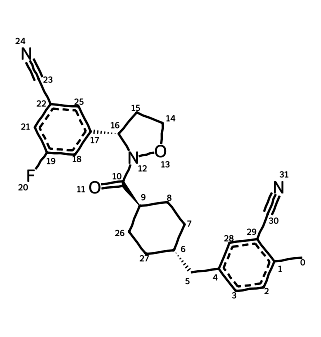 Cc1ccc(C[C@H]2CC[C@H](C(=O)N3OCC[C@H]3c3cc(F)cc(C#N)c3)CC2)cc1C#N